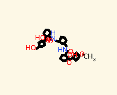 COc1ccc(C(=O)C2(O)CCCCC2C(=O)NCC2CCCC(CNC(=O)C3CCCCC3(O)C(=O)c3ccc(CO)cc3)C2)cc1